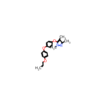 C=CCOc1ccc(Oc2ccc(Oc3c(C)c(C)nn3C)cc2)cc1